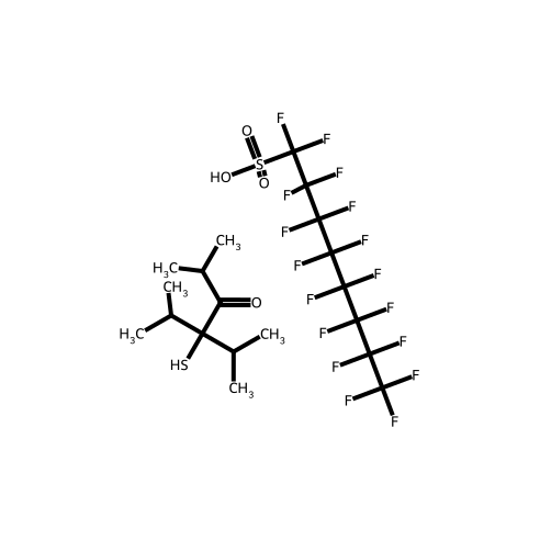 CC(C)C(=O)C(S)(C(C)C)C(C)C.O=S(=O)(O)C(F)(F)C(F)(F)C(F)(F)C(F)(F)C(F)(F)C(F)(F)C(F)(F)C(F)(F)F